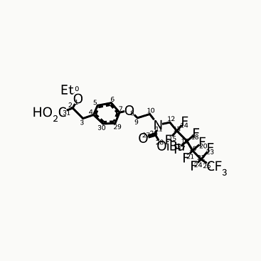 CCOC(Cc1ccc(OCCN(CC(F)(F)C(F)(F)C(F)(F)C(F)(F)C(F)(F)F)C(=O)OCC(C)C)cc1)C(=O)O